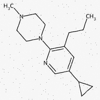 CCCc1cc(C2CC2)cnc1N1CCN(C)CC1